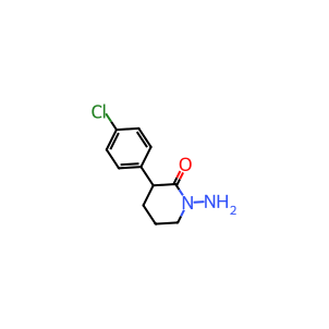 NN1CCCC(c2ccc(Cl)cc2)C1=O